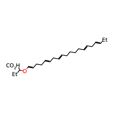 CCC=CCC=CCCCCC=CCC=CCCC=COC(CC)C(=O)O